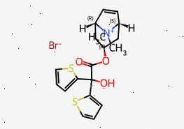 C[N+]1(C)[C@@H]2C=C[C@H]1C[C@H](OC(=O)C(O)(c1cccs1)c1cccs1)C2.[Br-]